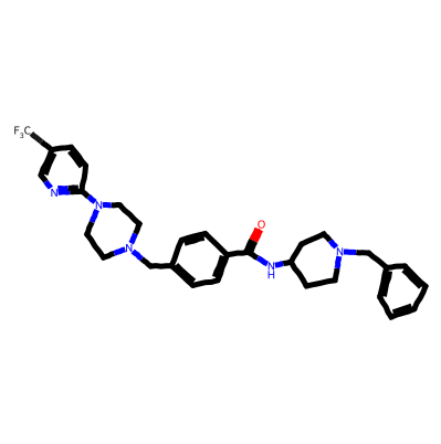 O=C(NC1CCN(Cc2ccccc2)CC1)c1ccc(CN2CCN(c3ccc(C(F)(F)F)cn3)CC2)cc1